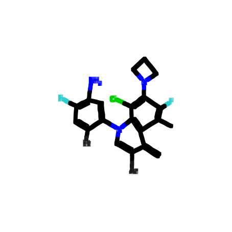 C=C1C(C(C)=O)=CN(c2cc(N)c(F)cc2CC)c2c(Cl)c(N3CCC3)c(F)c(C)c21